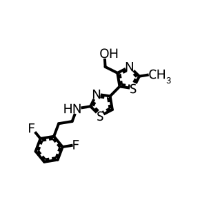 Cc1nc(CO)c(-c2csc(NCCc3c(F)cccc3F)n2)s1